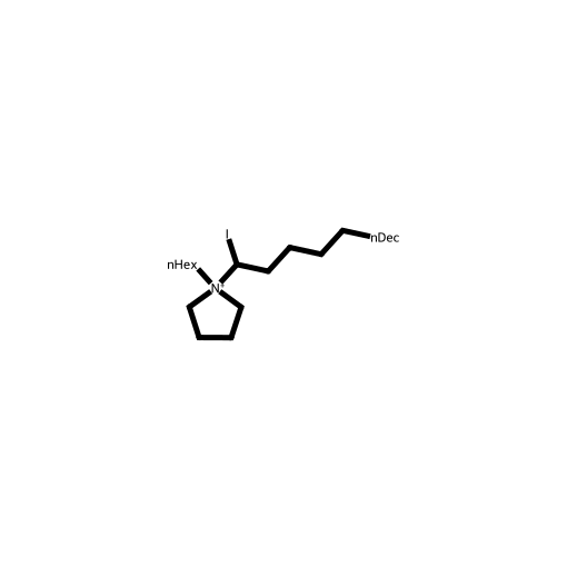 CCCCCCCCCCCCCCC(I)[N+]1(CCCCCC)CCCC1